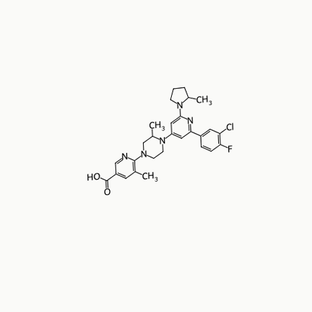 Cc1cc(C(=O)O)cnc1N1CCN(c2cc(-c3ccc(F)c(Cl)c3)nc(N3CCCC3C)c2)C(C)C1